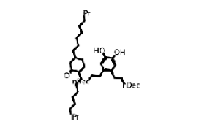 CC(C)CCCCCCC1CCC(CCCCCCC(C)C)C(=O)C1.CCCCCCCCCCCCc1cc(O)c(O)cc1CCCCCCCCCCCC